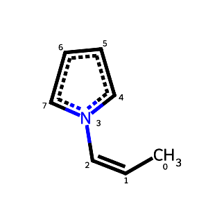 C/C=C\n1cccc1